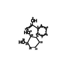 OC(=S)c1ccccc1.OC1CCCCC1O